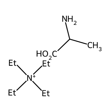 CC(N)C(=O)O.CC[N+](CC)(CC)CC